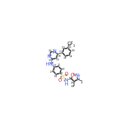 Cc1noc(NS(=O)(=O)c2ccc(Nc3cc(-c4cccc(C(F)(F)F)c4)ncn3)cc2)c1C